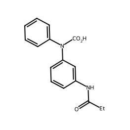 CCC(=O)Nc1cccc(N(C(=O)O)c2ccccc2)c1